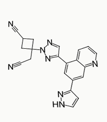 N#CCC1(n2ncc(-c3cc(-c4cc[nH]n4)cc4ncccc34)n2)CC(C#N)C1